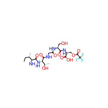 CC[C@H](C)[C@H](N)C(=O)N[C@H](C(=O)NCC(=O)N[C@@H](CO)C(=O)N[C@@H](COC(=O)C(F)(F)F)C(=O)O)[C@H](C)O